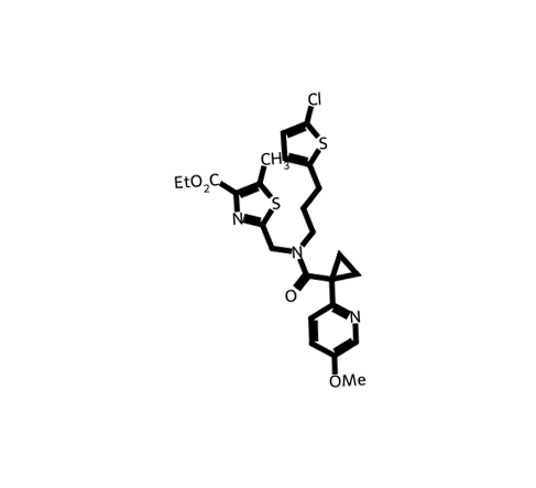 CCOC(=O)c1nc(CN(CCCc2ccc(Cl)s2)C(=O)C2(c3ccc(OC)cn3)CC2)sc1C